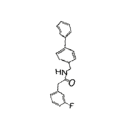 O=C(Cc1cccc(F)c1)NCc1ccc(-c2ccccc2)cc1